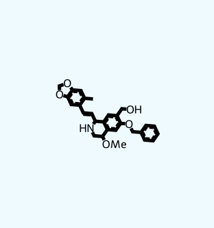 COC1CNC(/C=C/c2cc3c(cc2C)OCO3)c2cc(CO)c(OCc3ccccc3)cc21